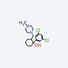 CN1CCN(CC2CCCCC2(O)c2cc(Cl)cc(Cl)c2)CC1